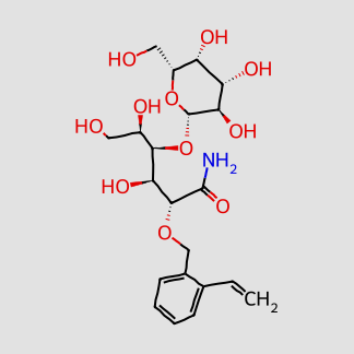 C=Cc1ccccc1CO[C@@H](C(N)=O)[C@@H](O)[C@H](O[C@@H]1O[C@H](CO)[C@H](O)[C@H](O)[C@H]1O)[C@H](O)CO